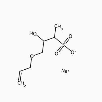 C=CCOCC(O)C(C)S(=O)(=O)[O-].[Na+]